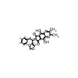 Cc1nc2c(O)c3c(c(O)c2nc1C)C(=O)N(C(Cc1ccccc1)C1=COCO1)C3=O